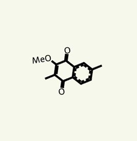 COC1=C(C)C(=O)c2ccc(C)cc2C1=O